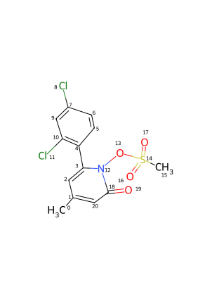 Cc1cc(-c2ccc(Cl)cc2Cl)n(OS(C)(=O)=O)c(=O)c1